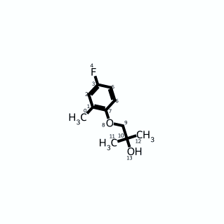 Cc1cc(F)ccc1OCC(C)(C)O